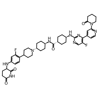 O=C1CCC(Nc2ccc(C3CCN([C@H]4CC[C@H](NC(=O)[C@H]5CC[C@H](Nc6ncc(F)c(-c7ccnc(N8CCCCC8=O)c7)n6)CC5)CC4)CC3)c(F)c2)C(=O)N1